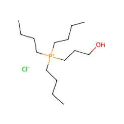 CCCC[P+](CCCC)(CCCC)CCCO.[Cl-]